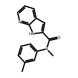 Cc1cccc(N(C)C(=O)c2cc3cccnc3[nH]2)c1